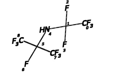 FC(F)(F)C(F)(F)NC(F)(C(F)(F)F)C(F)(F)F